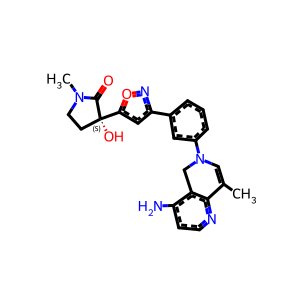 CC1=CN(c2cccc(-c3cc([C@@]4(O)CCN(C)C4=O)on3)c2)Cc2c(N)ccnc21